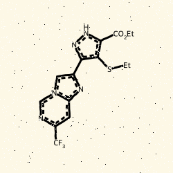 CCOC(=O)c1[nH]nc(-c2cn3cnc(C(F)(F)F)cc3n2)c1SCC